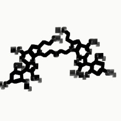 CCCc1cc2c(C)nc3c(-c4c(C)cc(C)cc4C)c(C)nn3c2n1CCOCCn1c(CCC)cc2c(C)nc3c(-c4c(C)cc(C)cc4C)c(C)nn3c21